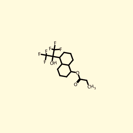 CCC(=O)OC1CCCC2C1CCCC2C(O)(C(F)(F)F)C(F)(F)F